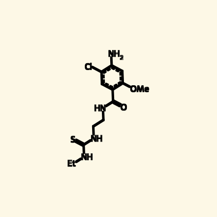 CCNC(=S)NCCNC(=O)c1cc(Cl)c(N)cc1OC